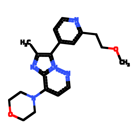 COCCc1cc(-c2c(C)nc3c(N4CCOCC4)ccnn23)ccn1